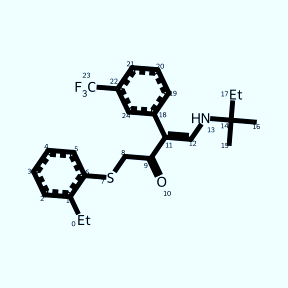 CCc1ccccc1SCC(=O)/C(=C/NC(C)(C)CC)c1cccc(C(F)(F)F)c1